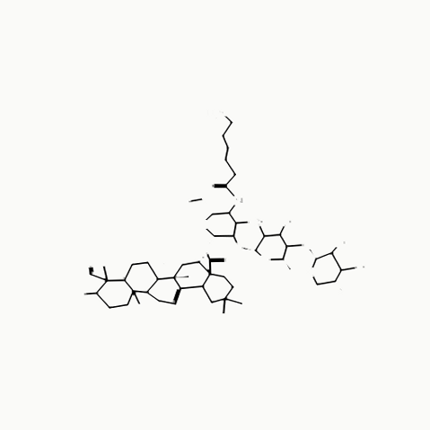 C[C@H]1O[C@@H](OC2C(O)C(NC(=O)CCCCCN)[C@@H](CO)O[C@H]2OC(=O)C23CCC(C)(C)CC2C2=CCC4C5(C)CCC(O)C(C)(C=O)[C@H]5CC[C@@]4(C)[C@]2(C)C[C@@H]3O)C(O)C(O)C1O[C@@H]1OC[C@@H](O)C(O)C1O